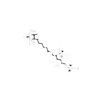 O=C(CCCCC1SC[C@@H]2NC(=O)N[C@H]12)NCC(NS(=O)(=O)O)C(O)CC(O)COS(=O)(=O)O